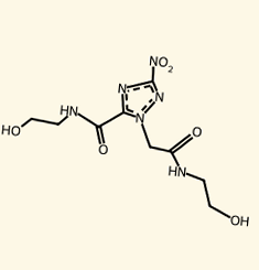 O=C(Cn1nc([N+](=O)[O-])nc1C(=O)NCCO)NCCO